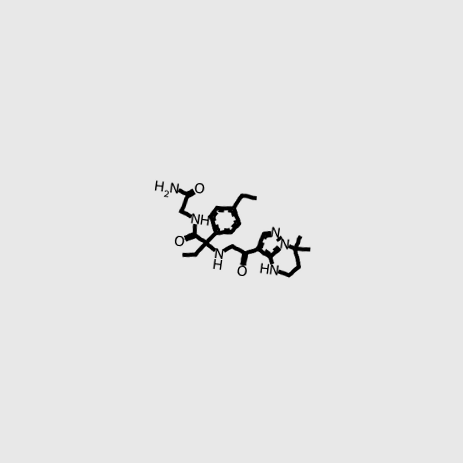 CCc1ccc(C(CC)(NCC(=O)c2cnn3c2NCCC3(C)C)C(=O)NCC(N)=O)cc1